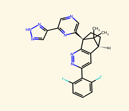 CC1(C)[C@H]2CC[C@@]1(c1cncc(-c3cn[nH]n3)n1)c1nnc(-c3c(F)cccc3F)cc12